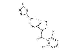 O=C(c1c(F)cccc1F)n1ccc2cc(-c3nn[nH]n3)ccc21